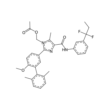 CCC(F)(F)c1cccc(NC(=O)c2nc(-c3ccc(OC)c(-c4c(C)cccc4C)c3)n(COC(C)=O)c2C)c1